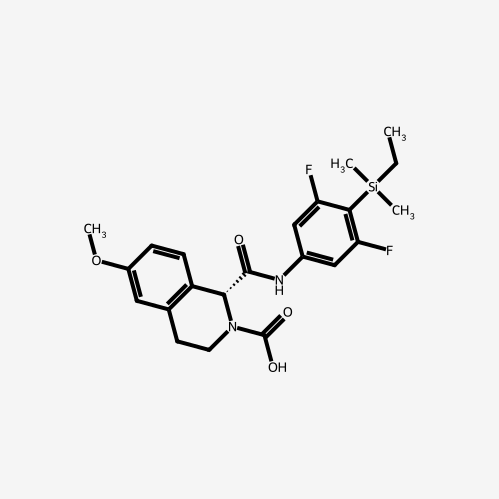 CC[Si](C)(C)c1c(F)cc(NC(=O)[C@H]2c3ccc(OC)cc3CCN2C(=O)O)cc1F